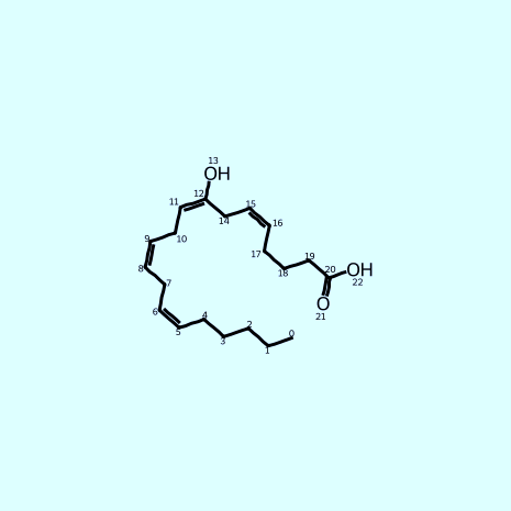 CCCCC/C=C\C/C=C\C/C=C(/O)C/C=C\CCCC(=O)O